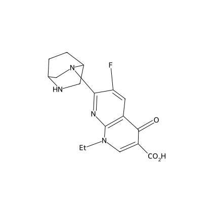 CCn1cc(C(=O)O)c(=O)c2cc(F)c(N3CC4CCC3CN4)nc21